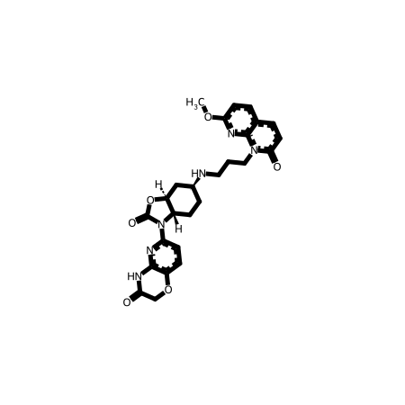 COc1ccc2ccc(=O)n(CCCN[C@H]3CC[C@H]4[C@H](C3)OC(=O)N4c3ccc4c(n3)NC(=O)CO4)c2n1